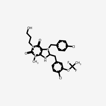 Cn1c2c(c(=O)n(CCCO)c1=O)N(Cc1ccc(Cl)cc1)C(Cc1ccc(Cl)c(OC(C)(F)F)c1)N2